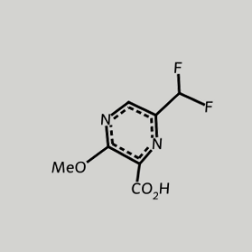 COc1ncc(C(F)F)nc1C(=O)O